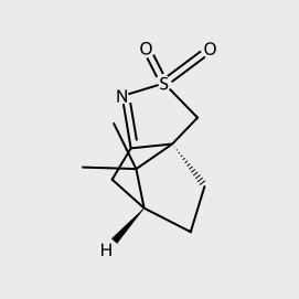 CC1(C)[C@@H]2CC[C@]13CS(=O)(=O)N=C3C2